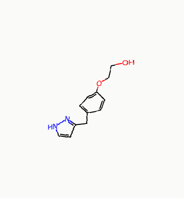 OCCOc1ccc(Cc2cc[nH]n2)cc1